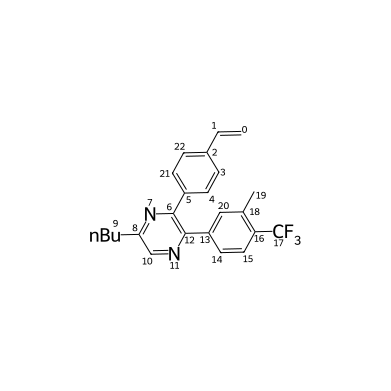 C=Cc1ccc(-c2nc(CCCC)cnc2-c2ccc(C(F)(F)F)c(C)c2)cc1